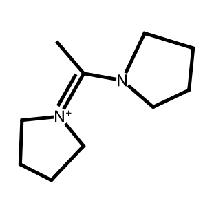 CC(N1CCCC1)=[N+]1CCCC1